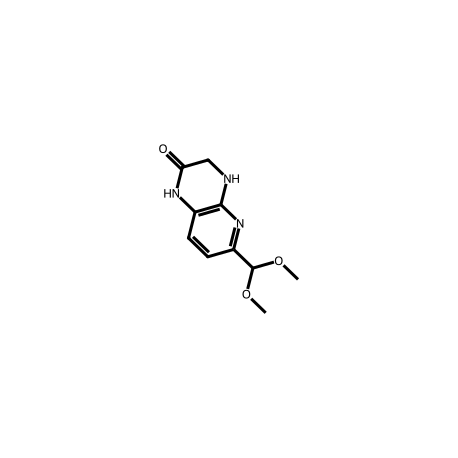 COC(OC)c1ccc2c(n1)NCC(=O)N2